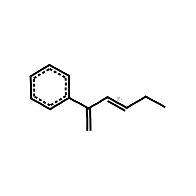 C=C(/C=C/CC)c1ccccc1